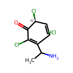 CC(N)C1=C(Cl)C(=O)[C@@H](Cl)C=C1.Cl